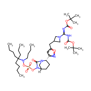 CCCCN(OS(=O)(=O)ON1C(=O)N2C[C@@H]1CC[C@H]2c1cc(CC2CN(/C(=N/C(=O)OC(C)(C)C)NC(=O)OC(C)(C)C)C2)on1)C(CCC)(CCCC)CCCC